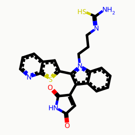 NC(S)=NCCCn1c(-c2cc3cccnc3s2)c(C2=CC(=O)NC2=O)c2ccccc21